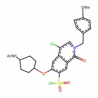 COc1ccc(Cn2cc(Cl)c3cc(OC4CCC(NC(C)=O)CC4)c(S(=O)(=O)Cl)cc3c2=O)cc1